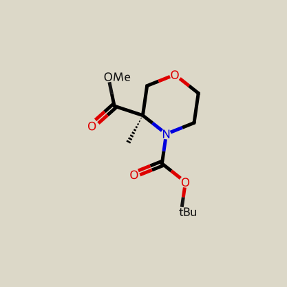 COC(=O)[C@@]1(C)COCCN1C(=O)OC(C)(C)C